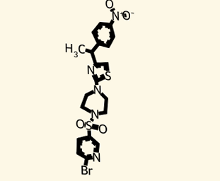 CC(c1ccc([N+](=O)[O-])cc1)c1csc(N2CCN(S(=O)(=O)c3ccc(Br)nc3)CC2)n1